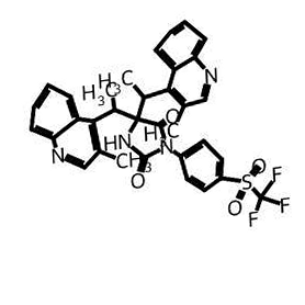 Cc1cnc2ccccc2c1C(C)C1(C(C)c2c(C)cnc3ccccc23)NC(=O)N(c2ccc(S(=O)(=O)C(F)(F)F)cc2)C1=O